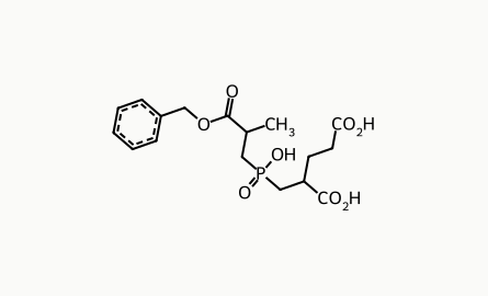 CC(CP(=O)(O)CC(CCC(=O)O)C(=O)O)C(=O)OCc1ccccc1